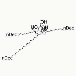 CCCCCCCCCCCCCCCCCCCCCCCCCC[C@](OC(=O)CCCCCCCCCCCCCCCCC)(C(C)=O)[C@@H](OC(=O)CCCCCCCCCCCCCCCCC)[C@H](O)[C@H](O)CO